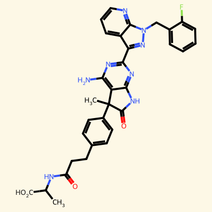 CC(NC(=O)CCc1ccc(C2(C)C(=O)Nc3nc(-c4nn(Cc5ccccc5F)c5ncccc45)nc(N)c32)cc1)C(=O)O